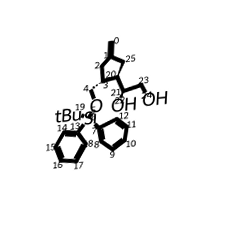 C=C1C[C@@H](CO[Si](c2ccccc2)(c2ccccc2)C(C)(C)C)[C@H]([C@H](O)CO)C1